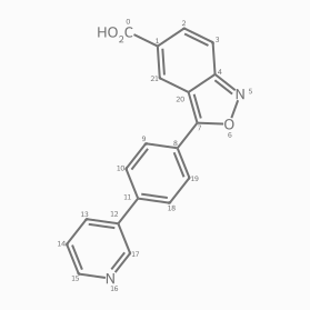 O=C(O)c1ccc2noc(-c3ccc(-c4cccnc4)cc3)c2c1